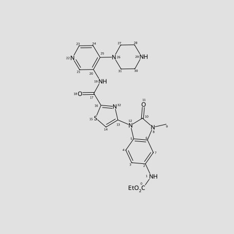 CCOC(=O)Nc1ccc2c(c1)n(C)c(=O)n2-c1csc(C(=O)Nc2cnccc2N2CCNCC2)n1